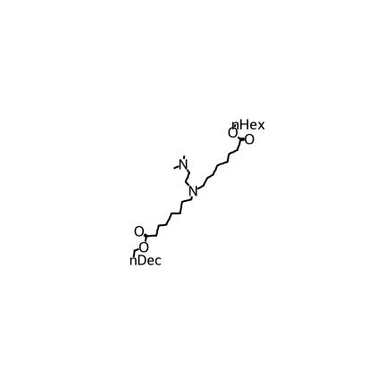 CCCCCCCCCCCOC(=O)CCCCCCCN(CCCCCCCC(=O)OCCCCCC)CCN(C)C